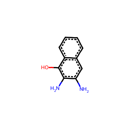 Nc1cc2ccccc2c(O)c1N